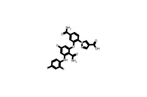 NC(=O)c1ccc(-n2cc(C(=O)O)cn2)c(Oc2cc(F)cc(Nc3ccc(I)cc3F)c2C(N)=O)c1